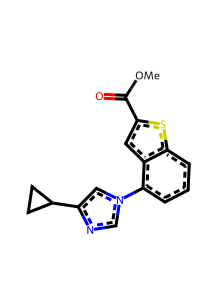 COC(=O)c1cc2c(-n3cnc(C4CC4)c3)cccc2s1